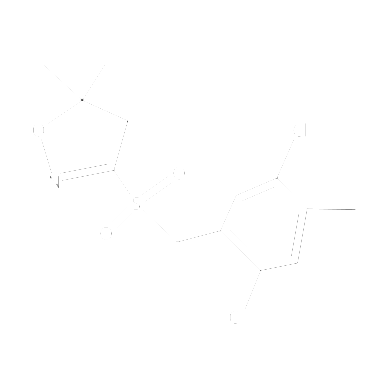 Cc1cc(Cl)c(CS(=O)(=O)C2=NOC(C)(C)C2)cc1Cl